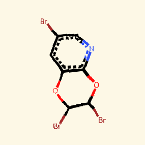 Brc1cnc2c(c1)OC(Br)C(Br)O2